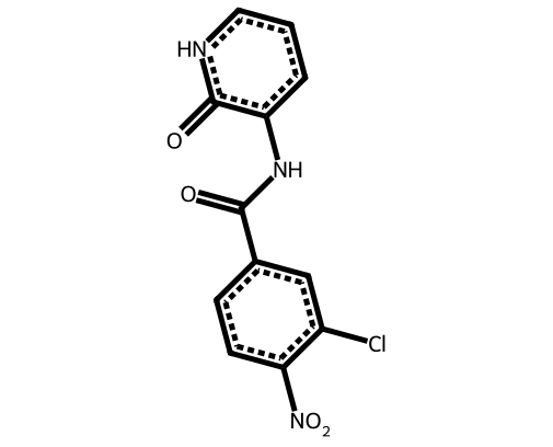 O=C(Nc1ccc[nH]c1=O)c1ccc([N+](=O)[O-])c(Cl)c1